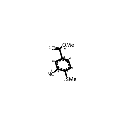 COC(=O)c1ccc(SC)c(C#N)c1